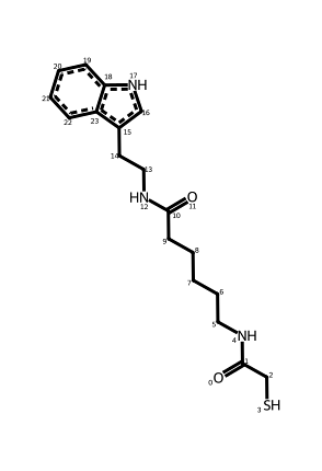 O=C(CS)NCCCCCC(=O)NCCc1c[nH]c2ccccc12